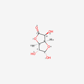 O=C1O[C@@H]2[C@@H](O)[C@@H](O)O[C@@H]2[C@@H]1O